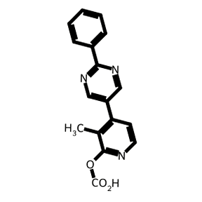 Cc1c(-c2cnc(-c3ccccc3)nc2)ccnc1OC(=O)O